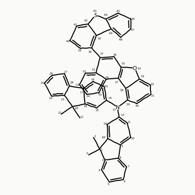 CC1(C)c2ccccc2-c2ccc(N(c3ccc4c(c3)C(C)(C)c3ccccc3-4)c3cccc4oc5cc(-c6cccc7sc8ccccc8c67)c6ccccc6c5c34)cc21